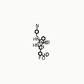 Cl.Cl.N#Cc1ccc(CCN[C@H](c2ccccc2)[C@@H]2CNc3cc(-c4ccc(F)c(C(=O)N5CCCC5)c4)cnc3O2)cc1